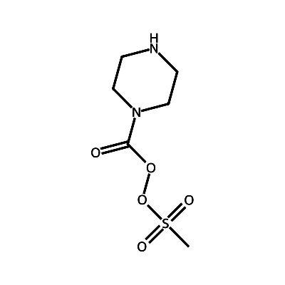 CS(=O)(=O)OOC(=O)N1CCNCC1